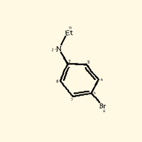 CC[N]c1ccc(Br)cc1